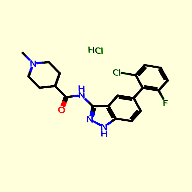 CN1CCC(C(=O)Nc2n[nH]c3ccc(-c4c(F)cccc4Cl)cc23)CC1.Cl